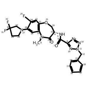 CN1C(=O)[C@@H](NC(=O)c2nnn(Cc3ccccc3)n2)COc2cc(F)c(N3CCC(F)(F)C3)cc21